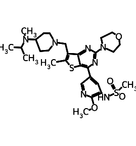 COc1ncc(-c2nc(N3CCOCC3)nc3c(CN4CCC(N(C)C(C)C)CC4)c(C)sc23)cc1NS(C)(=O)=O